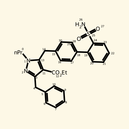 CCCn1nc(Cc2ccccc2)c(C(=O)OCC)c1Cc1ccc(-c2ccccc2S(N)(=O)=O)cc1